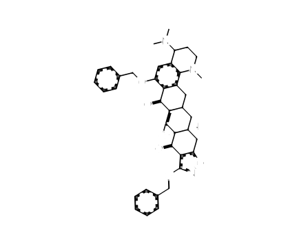 CN1CCC(N(C)C)c2cc(OCc3ccccc3)c3c(c21)CC1C[C@H]2Cc4onc(OCc5ccccc5)c4C(=O)[C@]24OC4=C1C3=O